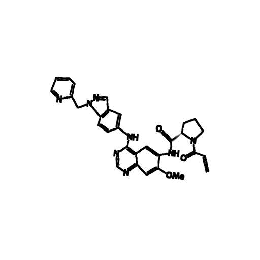 C=CC(=O)N1CCC[C@H]1C(=O)Nc1cc2c(Nc3ccc4c(cnn4Cc4ccccn4)c3)ncnc2cc1OC